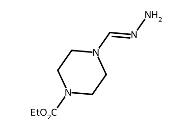 CCOC(=O)N1CCN(C=NN)CC1